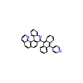 c1cnc2c(c1)ccc1ccc3c(-c4c5ccccc5c(-c5ccncc5)c5ccccc45)nc4ccccc4c3c12